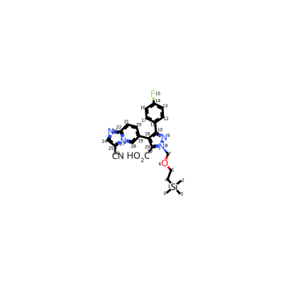 C[Si](C)(C)CCOCn1nc(-c2ccc(F)cc2)c(-c2ccc3ncc(C#N)n3c2)c1C(=O)O